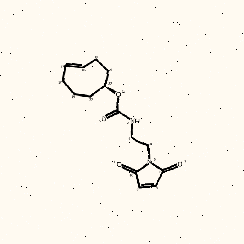 O=C(NCCN1C(=O)C=CC1=O)O[C@@H]1CC/C=C/CCC1